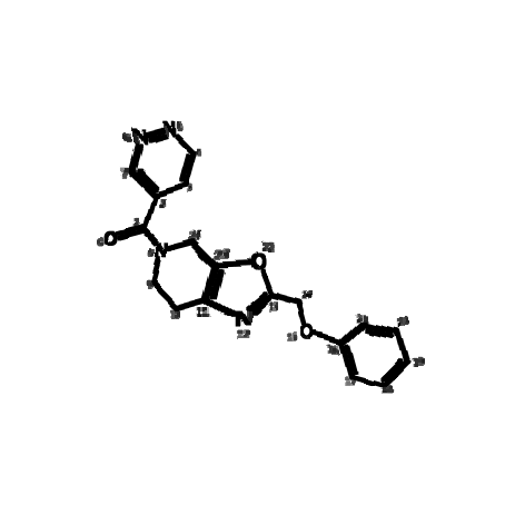 O=C(c1ccnnc1)N1CCc2nc(COc3ccccc3)oc2C1